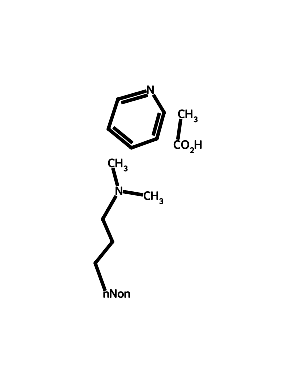 CC(=O)O.CCCCCCCCCCCCN(C)C.c1ccncc1